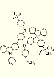 C=Cc1ccc(Oc2ccc(C3(c4ccc(C(C)(C)C)cc4)c4ccccc4-c4ccc(N(c5ccc(-c6ccc7c(c6)c6ccccc6n7-c6ccccc6)cc5)c5ccc(C(F)(F)F)cc5)cc43)cc2)cc1